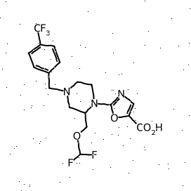 O=C(O)c1cnc(N2CCN(Cc3ccc(C(F)(F)F)cc3)CC2COC(F)F)o1